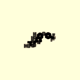 CC(NC(=O)c1ncc2cc(Oc3ccc(C(F)(F)F)cc3)ccc2c1O)C(=O)O